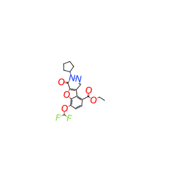 CCOC(=O)c1ccc(OC(F)F)c2oc3c(=O)n(C4CCCC4)ncc3c12